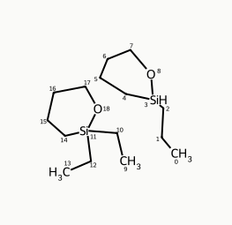 CCC[SiH]1CCCCO1.CC[Si]1(CC)CCCCO1